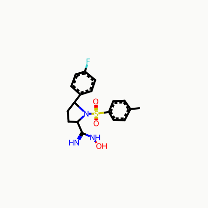 Cc1ccc(S(=O)(=O)N2C(C(=N)NO)CCC2c2ccc(F)cc2)cc1